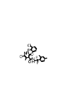 Cc1ccc(C(F)(F)CNC(=O)c2c(Oc3cccc(Cl)c3F)nnc(Cl)c2C)c(C)c1